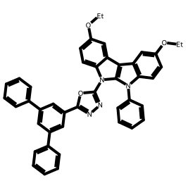 CCOc1ccc2c(c1)c1c3cc(OCC)ccc3n(-c3nnc(-c4cc(-c5ccccc5)cc(-c5ccccc5)c4)o3)c1n2-c1ccccc1